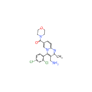 CC1=NC2=C=CC(C(=O)N3CCOCC3)=CN2C(c2ccc(Cl)cc2Cl)=C1CN